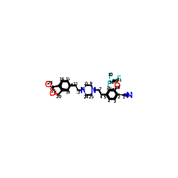 N#Cc1ccc(CCN2CCN(CCc3ccc4c(c3)COC4=O)CC2)cc1OC(F)(F)F